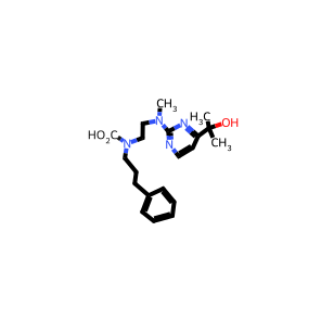 CN(CCN(CCCc1ccccc1)C(=O)O)c1nccc(C(C)(C)O)n1